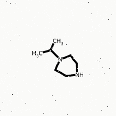 C[C](C)N1CCNCC1